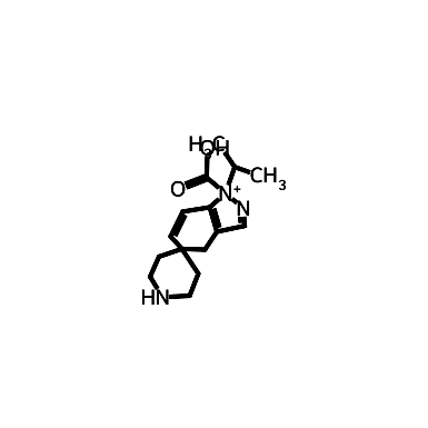 CC(C)[N+]1(C(=O)O)N=CC2=C1C=CC1(CCNCC1)C2